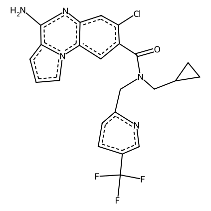 Nc1nc2cc(Cl)c(C(=O)N(Cc3ccc(C(F)(F)F)cn3)CC3CC3)cc2n2cccc12